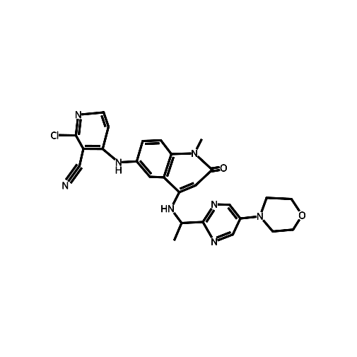 CC(Nc1cc(=O)n(C)c2ccc(Nc3ccnc(Cl)c3C#N)cc12)c1ncc(N2CCOCC2)cn1